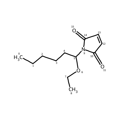 CCCCCC(OCC)N1C(=O)C=CC1=O